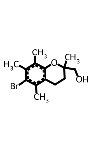 Cc1c(C)c2c(c(C)c1Br)CCC(C)(CO)O2